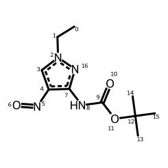 CCn1cc(N=O)c(NC(=O)OC(C)(C)C)n1